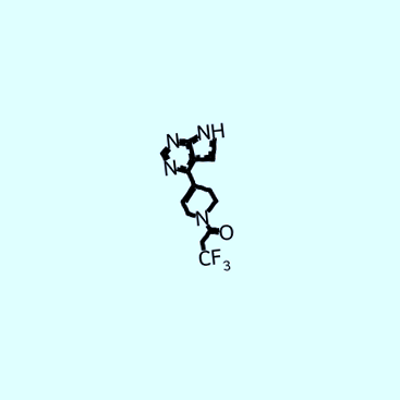 O=C(CC(F)(F)F)N1CC=C(c2ncnc3[nH]ccc23)CC1